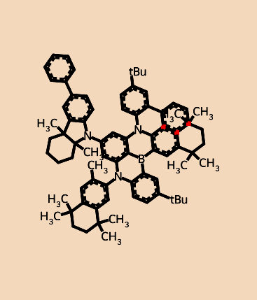 Cc1cc2c(cc1N1c3ccc(C(C)(C)C)cc3B3c4cc5c(cc4N(c4ccc(C(C)(C)C)cc4-c4ccccc4)c4cc(N6c7ccc(-c8ccccc8)cc7C7(C)CCCCC67C)cc1c43)C(C)(C)CCC5(C)C)C(C)(C)CCC2(C)C